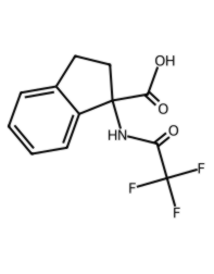 O=C(NC1(C(=O)O)CCc2ccccc21)C(F)(F)F